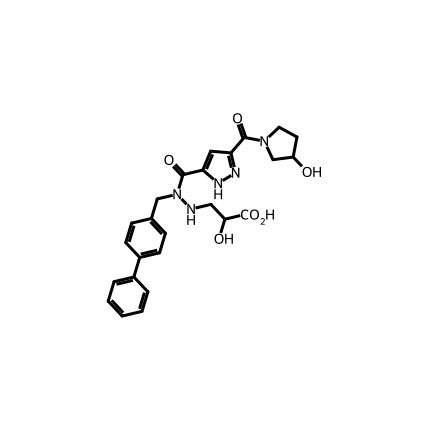 O=C(O)C(O)CNN(Cc1ccc(-c2ccccc2)cc1)C(=O)c1cc(C(=O)N2CCC(O)C2)n[nH]1